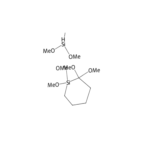 COC1(OC)CCCC[Si]1(OC)OC.CO[SiH](C)OC